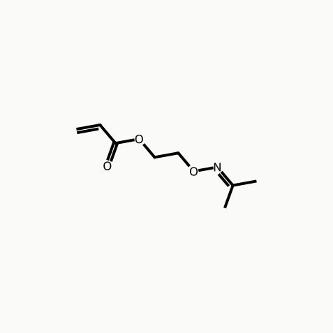 C=CC(=O)OCCON=C(C)C